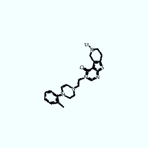 CCN1CCc2sc3ncn(CCN4CCN(c5ccccc5C)CC4)c(=O)c3c2C1